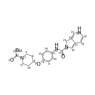 CC[C@H](C)C(=O)N1CCC(Oc2ccc(NC(=O)N3C=C4C=CNC=C4C3)cc2)CC1